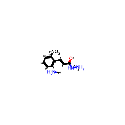 CN.NNC(=O)/C=C/c1ccccc1[N+](=O)[O-]